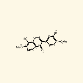 COc1ccc(-c2coc3c(Br)c(OC)ccc3c2=O)cc1Br